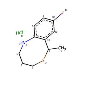 CC1SCCCNc2ccc(I)cc21.Cl